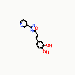 Oc1ccc(C=Cc2nc(-c3cccnc3)no2)cc1O